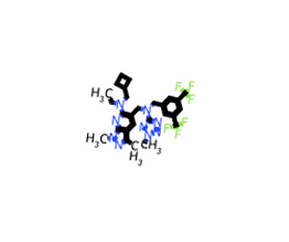 CCN(CC1CCC1)c1nc2c(cc1CN(Cc1cc(C(F)(F)F)cc(C(F)(F)F)c1)c1nnn(C)n1)c(C)nn2C